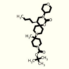 CCCC[C@H]1CN(C2CCOCC2)C(=O)OC12CCN(C1(C)CCN(C(=O)OC(C)(C)C)CC1)CC2